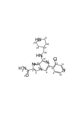 NC(=O)c1cn2cc(-c3ccncc3Cl)nc(NCC3CCNCC3)c2n1